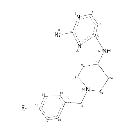 N#Cc1nccc(NC2CCN(Cc3ccc(Br)cc3)CC2)n1